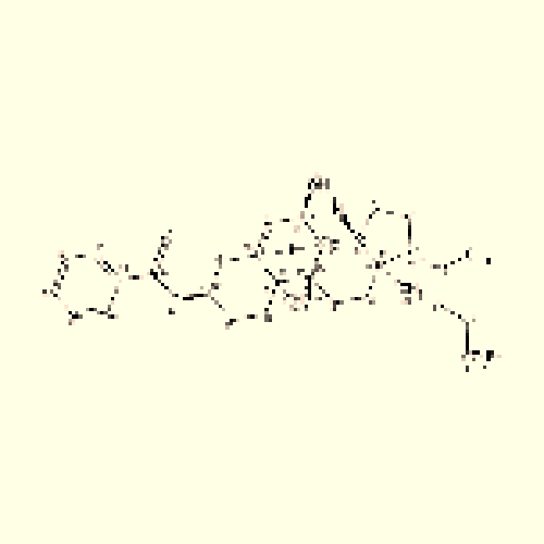 CCOC(=O)CCC(C)[C@H]1CC[C@H]2[C@@H]3[C@H](O)C=C4C[C@H](OC(=O)c5ccccc5)CC[C@]4(C)[C@H]3CC[C@]12C